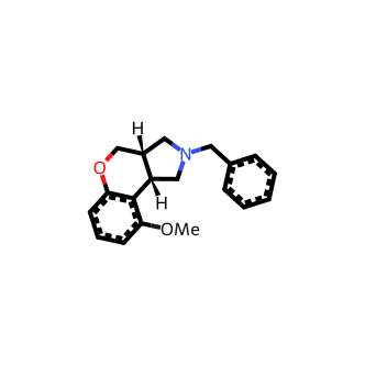 COc1cccc2c1[C@H]1CN(Cc3ccccc3)C[C@H]1CO2